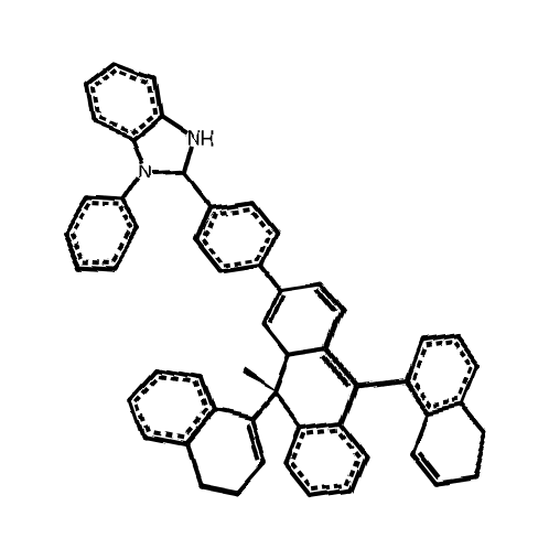 C[C@]1(C2=CCCc3ccccc32)c2ccccc2C(c2cccc3c2C=CCC3)=C2C=CC(c3ccc(C4Nc5ccccc5N4c4ccccc4)cc3)=CC21